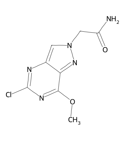 COc1nc(Cl)nc2cn(CC(N)=O)nc12